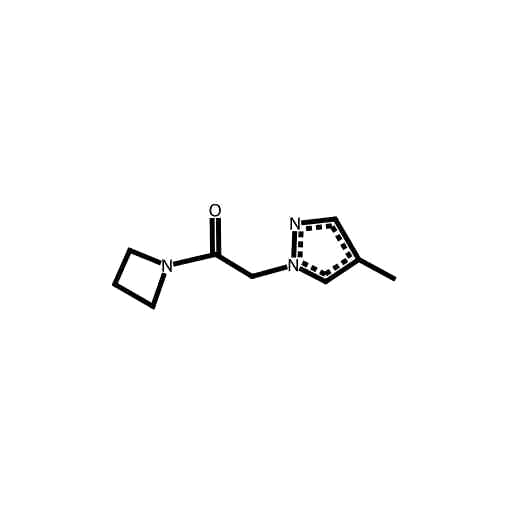 Cc1cnn(CC(=O)N2CCC2)c1